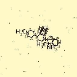 CN1CCC(C2CCN(C(=O)[C@@](C)(N)c3ccncc3)CC2)CC1.Cl.Cl.Cl